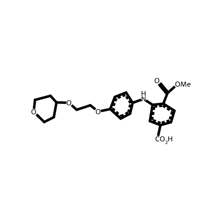 COC(=O)c1ccc(C(=O)O)cc1Nc1ccc(OCCOC2CCOCC2)cc1